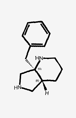 c1ccc(C[C@@]23CNC[C@H]2CCCN3)cc1